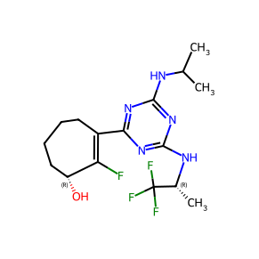 CC(C)Nc1nc(N[C@H](C)C(F)(F)F)nc(C2=C(F)[C@H](O)CCCC2)n1